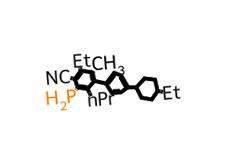 CCCc1c(P)c(C#N)c(CC)c(C)c1-c1ccc(C2CCC(CC)CC2)cc1